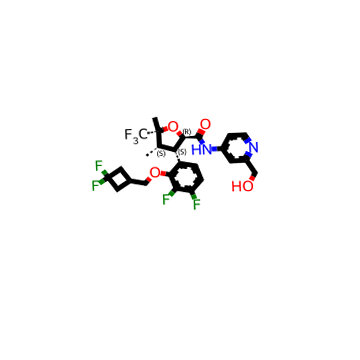 C[C@H]1[C@@H](c2ccc(F)c(F)c2OCC2CC(F)(F)C2)[C@H](C(=O)Nc2ccnc(CO)c2)O[C@@]1(C)C(F)(F)F